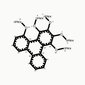 CCCCCCOc1c(OCCCCCC)c(OCCCCCC)c2c3c(OCCCCCC)cccc3c3ccccc3c2c1OCCCCCC